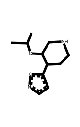 CC(C)OC1CNCCC1c1ccno1